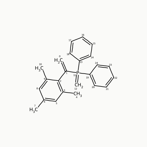 C=C(c1c(C)cc(C)cc1C)P(=C)(c1ccccc1)c1ccccc1